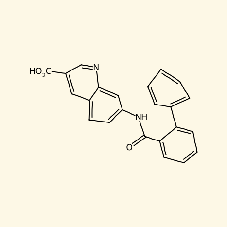 O=C(O)c1cnc2cc(NC(=O)c3ccccc3-c3ccccc3)ccc2c1